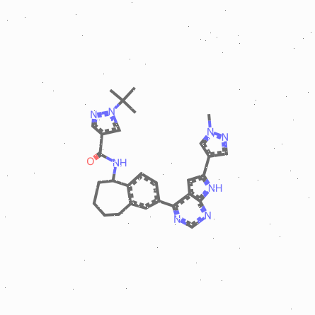 Cn1cc(-c2cc3c(-c4ccc5c(c4)CCCCC5NC(=O)c4cnn(C(C)(C)C)c4)ncnc3[nH]2)cn1